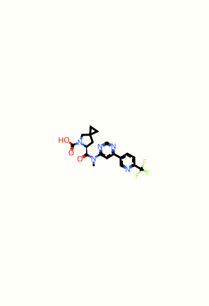 CN(C(=O)[C@@H]1CC2(CC2)CN1C(=O)O)c1cc(-c2ccc(C(F)(F)F)nc2)ncn1